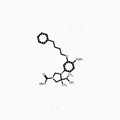 COC(=O)N1C[C@@H](c2ccc(OC)c(OCCCCc3ccccc3)c2)[C@](C)([C@@H](C)O)C1